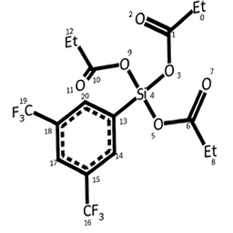 CCC(=O)O[Si](OC(=O)CC)(OC(=O)CC)c1cc(C(F)(F)F)cc(C(F)(F)F)c1